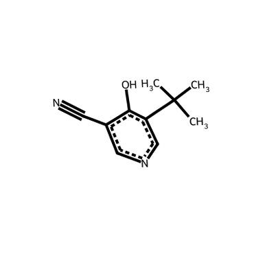 CC(C)(C)c1cncc(C#N)c1O